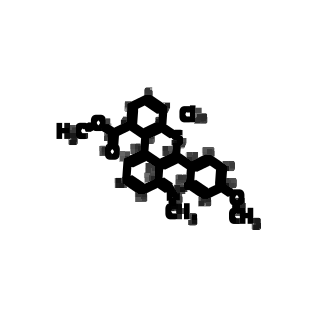 COC(=O)c1cccc2c1-c1cccc3c1c(c1ccc(OC)cc1[n+]3C)S2.[Cl-]